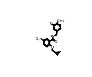 COc1ccc(CNC(=O)c2cc([N+](=O)[O-])ccc2OCC2CC2)cc1F